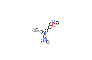 c1ccc(-c2nc3ccc4cc(-c5ccc(N(c6ccc(-c7ccc8ccccc8c7)cc6)c6ccc7c(c6)c6ccccc6n7-c6ccccc6)cc5)ccc4c3o2)cc1